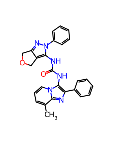 Cc1cccn2c(NC(=O)Nc3c4c(nn3-c3ccccc3)COC4)c(-c3ccccc3)nc12